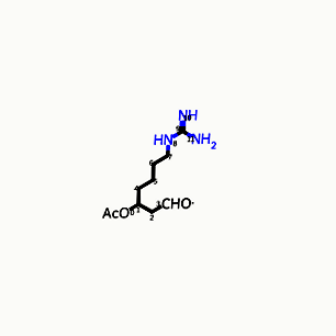 CC(=O)OC(C[C]=O)CCCCNC(=N)N